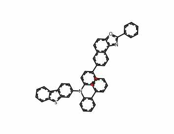 c1ccc(-c2nc3c(ccc4cc(-c5ccc(N(c6ccc7c(c6)sc6ccccc67)c6ccccc6-c6ccccc6)cc5)ccc43)o2)cc1